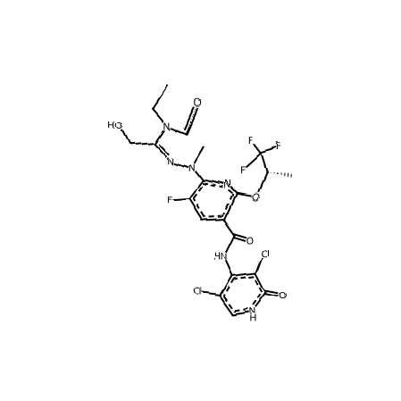 CCN(C=O)/C(CO)=N\N(C)c1nc(O[C@@H](C)C(F)(F)F)c(C(=O)Nc2c(Cl)c[nH]c(=O)c2Cl)cc1F